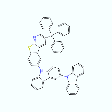 c1ccc([Si](c2ccccc2)(c2ccccc2)c2cnc3sc4ccc(-n5c6ccccc6c6cc(-n7c8ccccc8c8ccccc87)ccc65)cc4c3c2)cc1